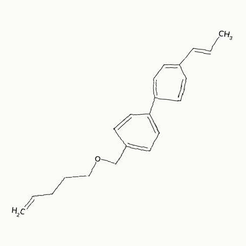 C=CCCCOCc1ccc(-c2ccc(C=CC)cc2)cc1